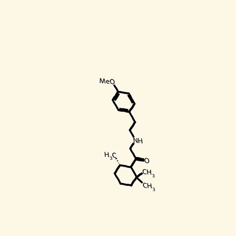 COc1ccc(CCNCC(=O)C2[C@@H](C)CCCC2(C)C)cc1